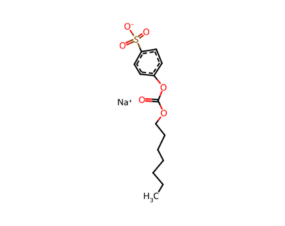 CCCCCCCOC(=O)Oc1ccc(S(=O)(=O)[O-])cc1.[Na+]